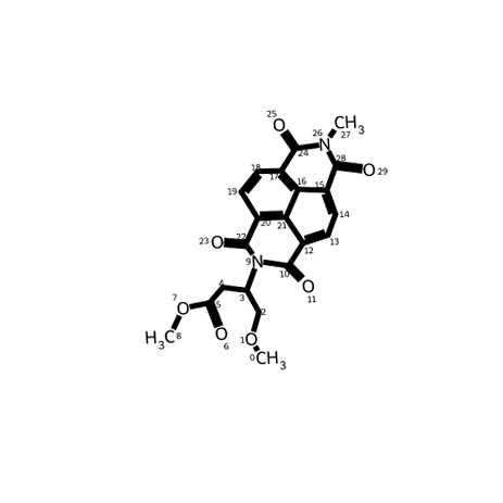 COCC(CC(=O)OC)N1C(=O)c2ccc3c4c(ccc(c24)C1=O)C(=O)N(C)C3=O